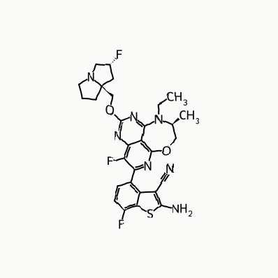 CCN1c2nc(OC[C@@]34CCCN3C[C@H](F)C4)nc3c(F)c(-c4ccc(F)c5sc(N)c(C#N)c45)nc(c23)OC[C@@H]1C